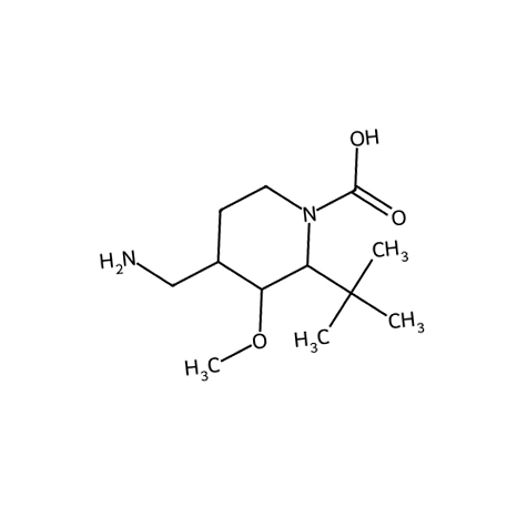 COC1C(CN)CCN(C(=O)O)C1C(C)(C)C